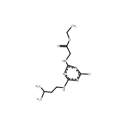 CCOC(=O)CNc1nc(Cl)nc(NCCC(C)C)n1